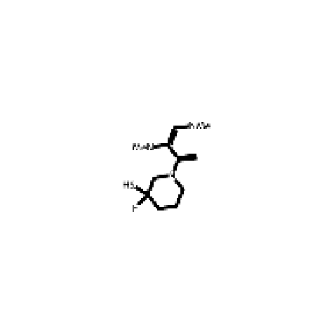 C=C(/C(=C\NC)NC)N1CCCC(F)(S)C1